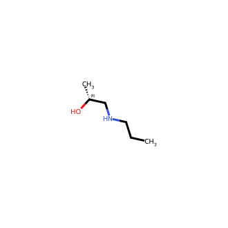 CCCNC[C@@H](C)O